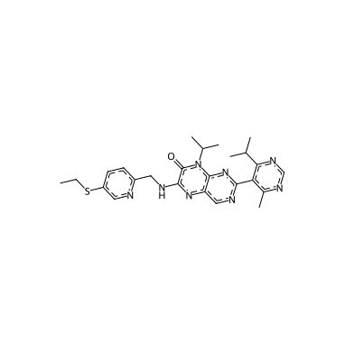 CCSc1ccc(CNc2nc3cnc(-c4c(C)ncnc4C(C)C)nc3n(C(C)C)c2=O)nc1